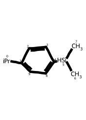 CC(C)c1ccc([SiH](C)C)cc1